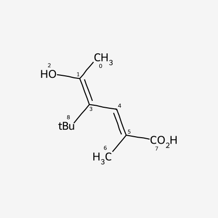 C/C(O)=C(\C=C(/C)C(=O)O)C(C)(C)C